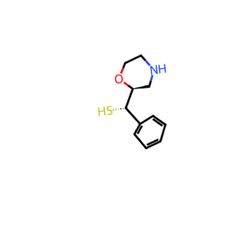 S[C@@H](c1ccccc1)[C@@H]1CNCCO1